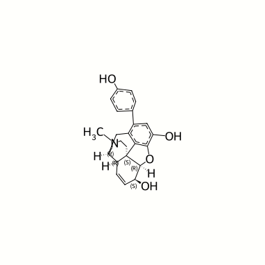 CN1CC[C@]23c4c5c(-c6ccc(O)cc6)cc(O)c4O[C@H]2[C@@H](O)C=C[C@H]3[C@H]1C5